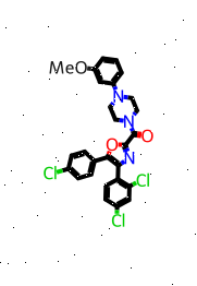 COc1cccc(N2CCN(C(=O)c3nc(-c4ccc(Cl)cc4Cl)c(-c4ccc(Cl)cc4)o3)CC2)c1